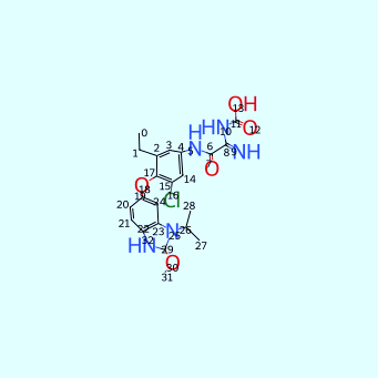 CCc1cc(NC(=O)C(=N)NC(=O)O)cc(Cl)c1Oc1ccc2c(c1)N(C(C)C)C(OC)N2